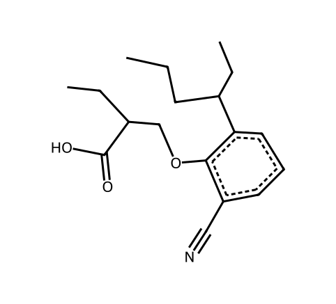 CCCC(CC)c1cccc(C#N)c1OCC(CC)C(=O)O